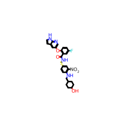 O=C(NSc1ccc(NCC2CCC(O)CC2)c([N+](=O)[O-])c1)c1cc(F)ccc1Oc1cnc2[nH]ccc2c1